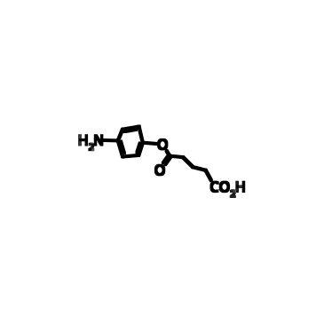 Nc1ccc(OC(=O)CCCC(=O)O)cc1